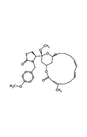 COc1ccc(CN2C(=O)SC[C@H]2[C@@]2(OC)CC3C[C@@H](CCC/C=C\C=C\CC/C(C)=C\C(=O)O3)O2)cc1